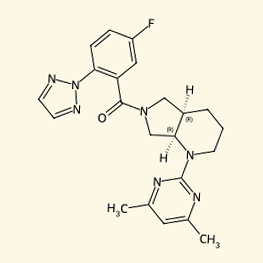 Cc1cc(C)nc(N2CCC[C@@H]3CN(C(=O)c4cc(F)ccc4-n4nccn4)C[C@@H]32)n1